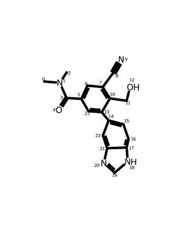 CN(C)C(=O)c1cc(C#N)c(CO)c(-c2ccc3[nH]cnc3c2)c1